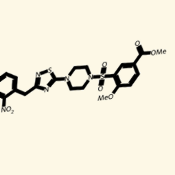 COC(=O)c1ccc(OC)c(S(=O)(=O)N2CCN(c3nc(Cc4ccccc4[N+](=O)[O-])ns3)CC2)c1